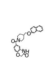 O=C1COc2ccc(C(=O)N3CCC(COc4ccc5ccccc5c4)CC3)cc2N1